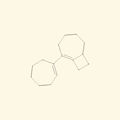 C1=C(C2=C3CCC3CCCC2)CCCCC1